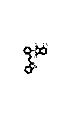 Nc1cccc2c1C(=O)N(c1ccccc1C=Cc1n[nH]c3ccccc13)C2=O